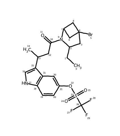 CCC1CC2(Br)CC(C2)N1C(=O)CC(C)c1c[nH]c2ccc(OS(=O)(=O)C(F)(F)F)cc12